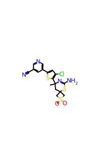 CC1(c2sc(-c3cncc(C#N)c3)cc2Cl)CC2(CS(=O)(=O)C2)SC(N)=N1